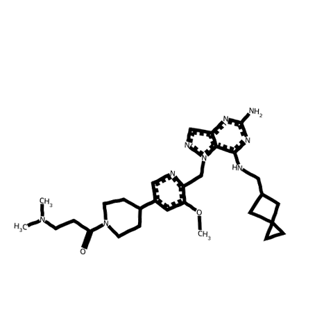 COc1cc(C2CCN(C(=O)CCN(C)C)CC2)cnc1Cn1ncc2nc(N)nc(NCC3CC4(CC4)C3)c21